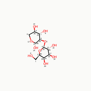 OC[C@H]1O[C@@H](O[C@@H]2[C@@H](O)[C@H](O)CO[C@H]2O)[C@H](O)[C@@H](O)[C@H]1O